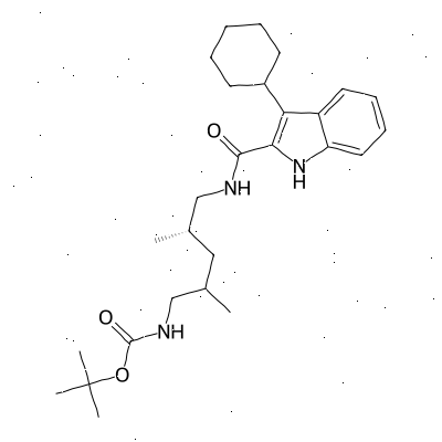 CC(CNC(=O)OC(C)(C)C)C[C@H](C)CNC(=O)c1[nH]c2ccccc2c1C1CCCCC1